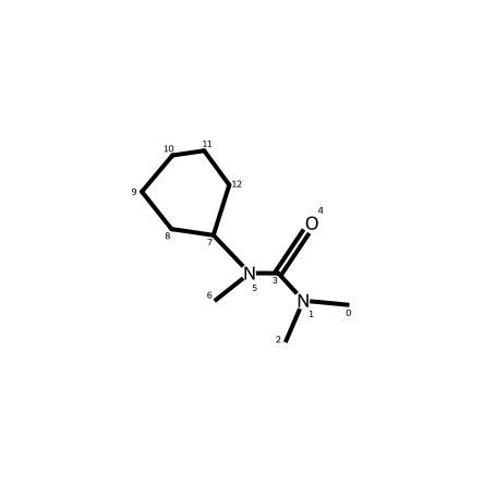 CN(C)C(=O)N(C)C1CCCCC1